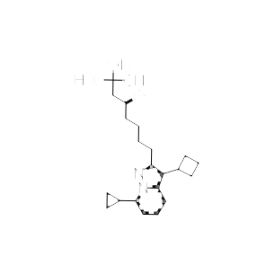 CC(C)(O)CC(=O)CCCCc1nn2c(C3CC3)cccc2c1C1CCC1